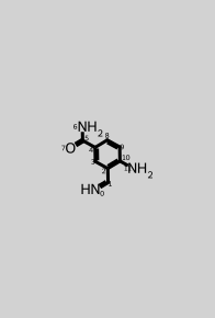 N=Cc1cc(C(N)=O)ccc1N